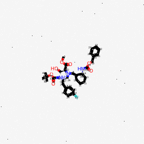 COC(=O)[C@H](CO)N(CC1CCCC[C@H]1NC(=O)OCc1ccccc1)C[C@H](Cc1ccc(F)cc1)NC(=O)OC(C)(C)C